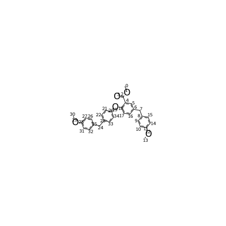 COC(=O)c1cc(Cc2ccc(OC)cc2)ccc1Oc1ccc(Cc2ccc(OC)cc2)cc1